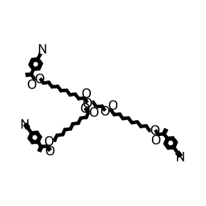 C=C(C(=O)OCCCCCCCCCC(=O)OCC(COC(=O)CCCCCCCCCOC(=O)C(=C)c1ccc(C#N)cc1)OC(=O)CCCCCCCCCOC(=O)C(=C)c1ccc(C#N)cc1)c1ccc(C#N)cc1